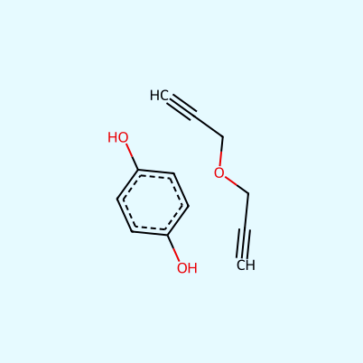 C#CCOCC#C.Oc1ccc(O)cc1